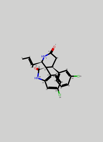 C/C=C(\C)[C@H]1NC(=O)C[C@@H](c2cccc(Cl)c2)[C@]12C(=O)Nc1cc(Cl)ccc12